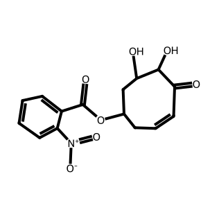 O=C(OC1CC=CC(=O)C(O)C(O)C1)c1ccccc1[N+](=O)[O-]